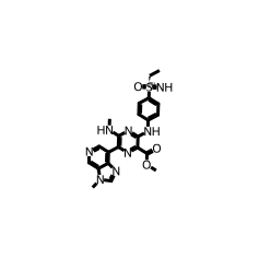 CC[S@@](=N)(=O)c1ccc(Nc2nc(NC)c(-c3cncc4c3ncn4C)nc2C(=O)OC)cc1